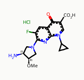 CO[C@@H]1CN(c2nc3c(cc2F)c(=O)c(C(=O)O)cn3C2CC2)C[C@@H]1N.Cl